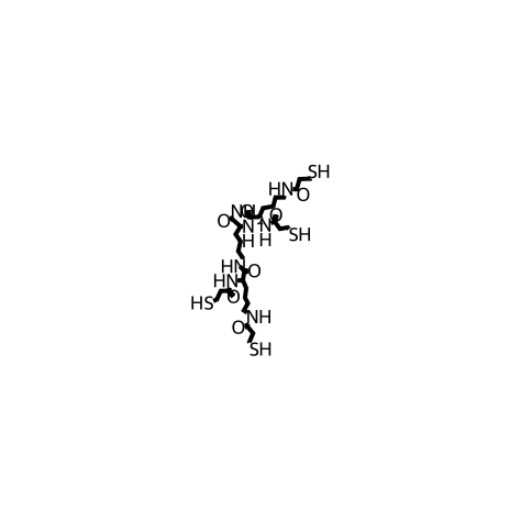 NC(=O)C(CCCCNC(=O)C(CCCCNC(=O)CCS)NC(=O)CCS)NC(=O)C(CCCCNC(=O)CCS)NC(=O)CCS